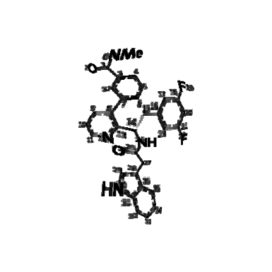 CNC(=O)c1cccc(-c2cccnc2[C@H](Cc2cc(F)cc(F)c2)NC(=O)Cc2c[nH]c3ccccc23)c1